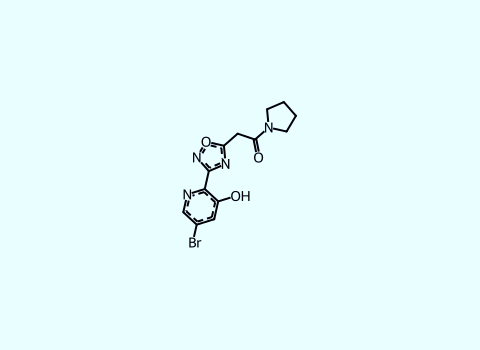 O=C(Cc1nc(-c2ncc(Br)cc2O)no1)N1CCCC1